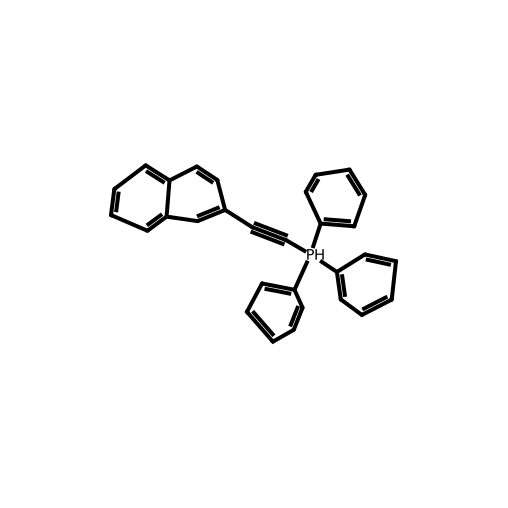 C(#C[PH](c1ccccc1)(c1ccccc1)c1ccccc1)c1ccc2ccccc2c1